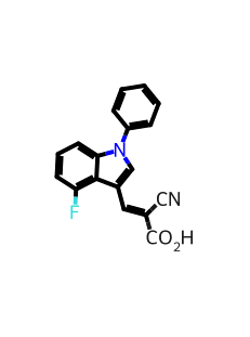 N#C/C(=C\c1cn(-c2ccccc2)c2cccc(F)c12)C(=O)O